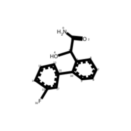 NC(=O)C(O)c1ccccc1-c1cccc(F)c1